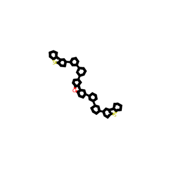 c1cc(-c2cccc(-c3ccc4sc5ccccc5c4c3)c2)cc(-c2ccc3oc4ccc(-c5cccc(-c6cccc(-c7ccc8sc9ccccc9c8c7)c6)c5)cc4c3c2)c1